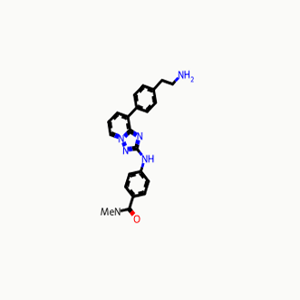 CNC(=O)c1ccc(Nc2nc3c(-c4ccc(CCN)cc4)cccn3n2)cc1